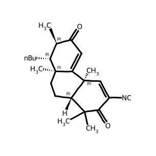 [C-]#[N+]C1=C[C@]2(C)C3=CC(=O)[C@H](C)[C@@H](CCCC)[C@]3(C)CC[C@H]2C(C)(C)C1=O